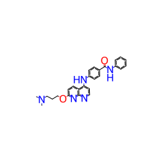 CN(C)CCCOc1ccc2c(Nc3ccc(C(=O)Nc4ccccc4)cc3)ccnc2n1